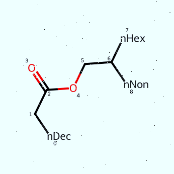 CCCCCCCCCCCC(=O)OCC(CCCCCC)CCCCCCCCC